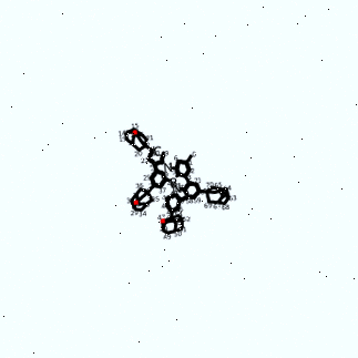 Cc1cc2c3c(c1)-n1c4ccc(C56CC7CC(CC(C7)C5)C6)cc4c4cc(C56CC7CC(CC(C7)C5)C6)cc(c41)B3n1c3ccc(C45CC6CC(CC(C6)C4)C5)cc3c3cc(C45CC6CC(CC(C6)C4)C5)cc-2c31